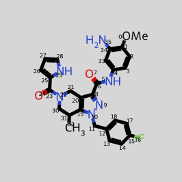 COc1ccc(NC(=O)c2nn(Cc3ccc(F)cc3)c3c2CN(C(=O)c2ccc[nH]2)CC3C)cc1N